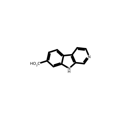 O=C(O)c1ccc2c(c1)[nH]c1cnccc12